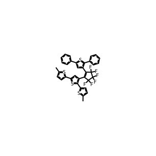 Cc1ccc(-c2cc(C3=C(c4cc(-c5ccccc5)sc4-c4ccccc4)C(F)(F)C(F)(F)C3(F)F)c(-c3ccc(C)s3)s2)s1